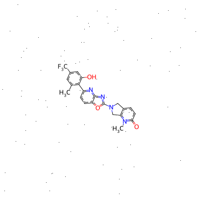 Cc1cc(C(F)(F)F)cc(O)c1-c1ccc2oc(N3Cc4ccc(=O)n(C)c4C3)nc2n1